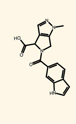 Cn1ncc2c1CN(C(=O)c1ccc3cc[nH]c3c1)C2C(=O)O